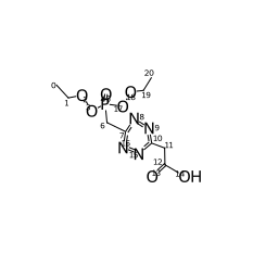 CCOOP(=O)(Cc1nnc(CC(=O)O)nn1)OOCC